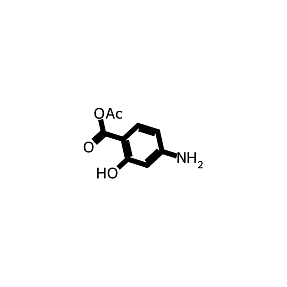 CC(=O)OC(=O)c1ccc(N)cc1O